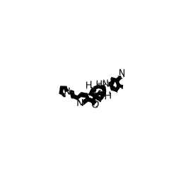 Cc1ccc(N[C@H]2C[C@H]3CC4[C@@H](C2)CC4(C(=O)c2ccc(CCN4CCCC4)nc2)C3)cc1C#N